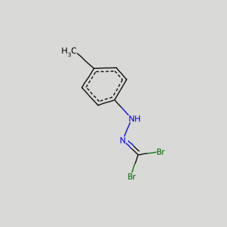 Cc1ccc(NN=C(Br)Br)cc1